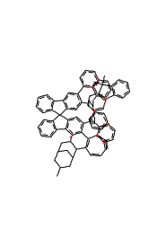 CC1CC2CC(C)C(C3=C(c4cc5c(cc4N(C4=CC6=C(CC4)C(C)(C)c4ccccc46)c4ccccc4)C4(c6ccccc6-5)c5ccccc5-c5cc(-c6ccccc6)c(N(c6ccccc6)c6ccccc6)cc54)CC#CC=C3)C(C1)C2